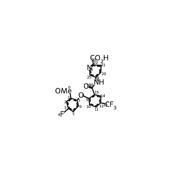 COc1cc(F)ccc1Oc1ccc(C(F)(F)F)cc1C(=O)Nc1ccc(C(=O)O)nc1